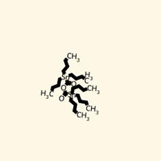 CCC[CH2][Sn]([CH2]CCC)([CH2]CCC)[C](=O)O[C](=O)[Sn]([CH2]CCC)([CH2]CCC)[CH2]CCC